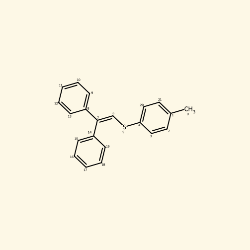 Cc1ccc(SC=C(c2ccccc2)c2ccccc2)cc1